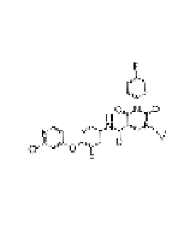 O=C(Nc1ccc(Oc2ccnc(Cl)c2)c(F)c1)c1cn(C2CC2)c(=O)n(-c2ccc(F)cc2)c1=O